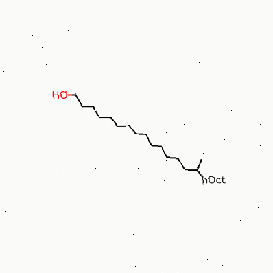 CCCCCCCCC(C)CCCCCCCCCCCCCCO